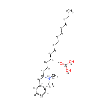 CCCCCCCCCCCCCCCC(Cc1ccccc1)N(C)C.O=C(O)O